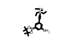 CC[SH](I)(C#Cc1cc(N)cc(B2OC(C)(C)C(C)(C)O2)c1)(CC)CC